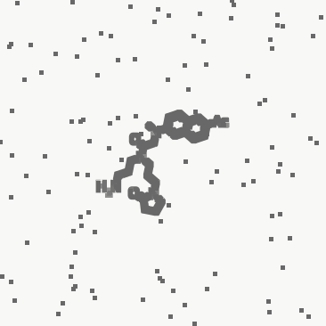 CC(=O)c1ccc2cc(N(C)CC(=O)N(CCCN)CCCN3CCCC3=O)ccc2c1